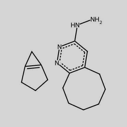 C1CC2=C(C1)C2.NNc1cc2c(nn1)CCCCCC2